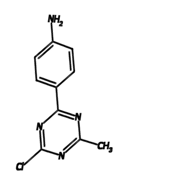 Cc1nc(Cl)nc(-c2ccc(N)cc2)n1